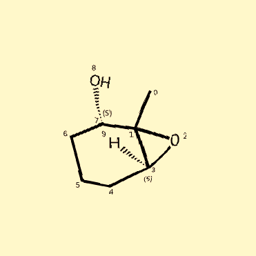 CC12O[C@H]1CCC[C@@H]2O